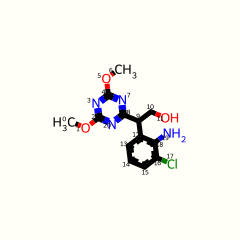 COc1nc(OC)nc(C(CO)c2cccc(Cl)c2N)n1